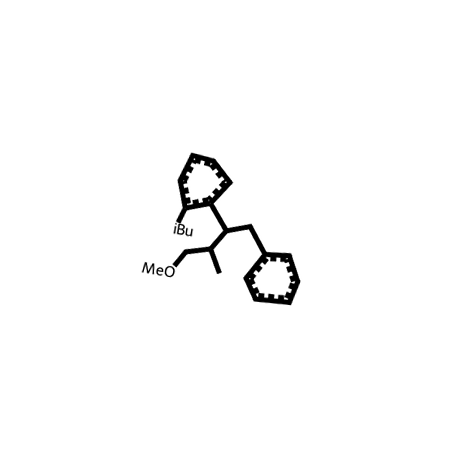 CCC(C)c1ccccc1[C](Cc1ccccc1)C(C)COC